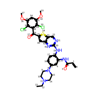 C=CC(=O)Nc1cc(N2CCN(CC)CC2)ccc1Nc1ncc2sc(C(=O)c3c(Cl)c(OC)cc(OC)c3Cl)cc2n1